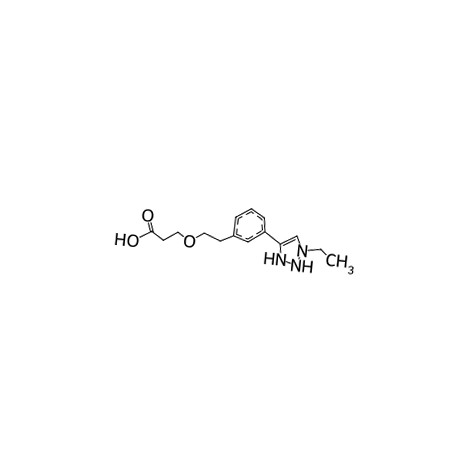 CCN1C=C(c2cccc(CCOCCC(=O)O)c2)NN1